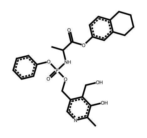 Cc1ncc(COP(=O)(NC(C)C(=O)Oc2ccc3c(c2)CCCC3)Oc2ccccc2)c(CO)c1O